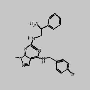 Cn1ncc2c(NCc3ccc(Br)cc3)nc(NCC(N)c3ccccc3)nc21